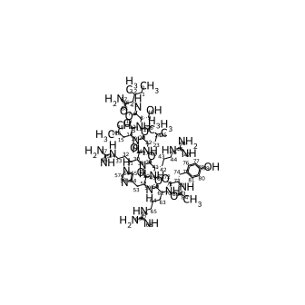 CC[C@H](C)[C@H](NC(=O)[C@H](CO)NC(=O)[C@H](CC(C)C)NC(=O)[C@H](CC(C)C)NC(=O)[C@H](CCCNC(=N)N)NC(=O)[C@H](CCCNC(=N)N)NC(=O)[C@H](Cc1c[nH]cn1)NC(=O)[C@H](CCCNC(=N)N)NC(=O)[C@H](Cc1ccc(O)cc1)NC(C)=O)C(N)=O